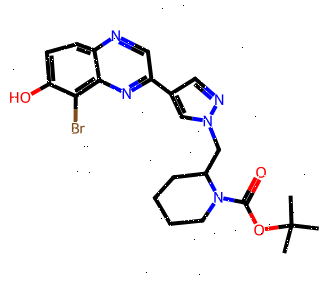 CC(C)(C)OC(=O)N1CCCCC1Cn1cc(-c2cnc3ccc(O)c(Br)c3n2)cn1